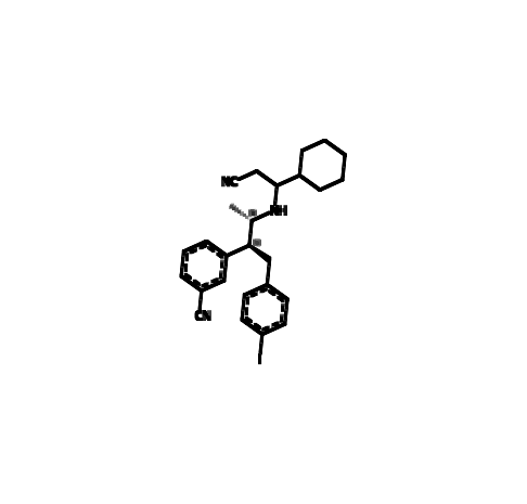 C[C@H](NC(CC#N)C1CCCCC1)[C@@H](Cc1ccc(I)cc1)c1cccc(C#N)c1